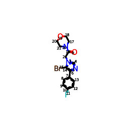 O=C(Cn1cnc(-c2ccc(F)cc2)c1Br)N1CCOCC1